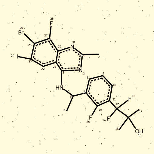 Cc1nc(NC(C)c2cccc(C(F)(F)C(C)(C)O)c2F)c2cc(I)c(Br)c(F)c2n1